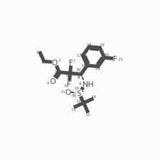 CCOC(=O)C(F)(F)[C@@H](N[S@@+]([O-])C(C)(C)C)c1cccc(F)c1